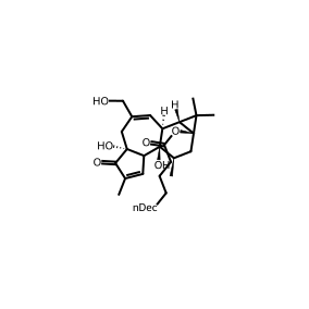 CCCCCCCCCCCCCC(=O)O[C@@]12C[C@@H](C)[C@]3(O)C4C=C(C)C(=O)[C@@]4(O)CC(CO)=C[C@H]3[C@@H]1C2(C)C